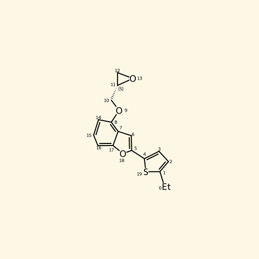 CCc1ccc(-c2cc3c(OC[C@@H]4CO4)cccc3o2)s1